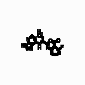 CC[C@H](Nc1ncnc2[nH]cnc12)c1nc2cccc(F)c2c(=O)o1